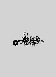 CC(C)OP1(=O)OC[C@H]2O[C@@H](n3cnc4c(OCc5ccccc5)nc(N)nc43)[C@](C)(F)[C@@H]2O1